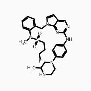 CC1CN(c2ccc(Nc3ncc4ccn(Cc5ccccc5N(C)S(=O)(=O)CCCF)c4n3)cc2)CCN1